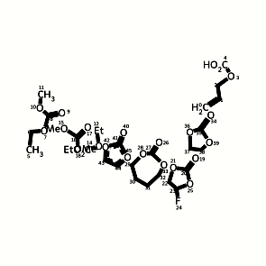 C=CCOC(=O)O.CCOC(=O)OC.CCOC(=O)OCC.COC(=O)OC.O=C1OCC(F)O1.O=C1OCCCCO1.O=C1OCCO1.O=c1occo1